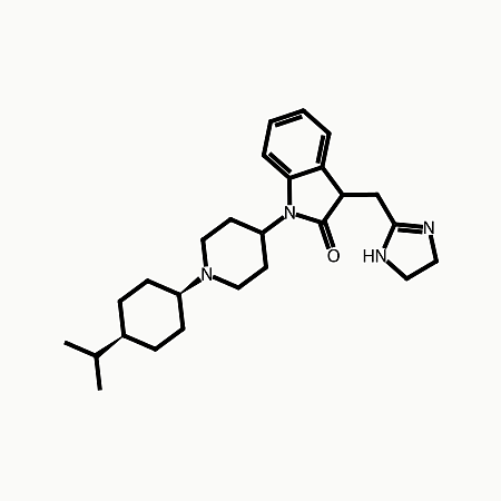 CC(C)[C@H]1CC[C@@H](N2CCC(N3C(=O)C(CC4=NCCN4)c4ccccc43)CC2)CC1